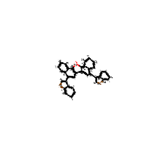 c1ccc2c(-c3cc4c5cc(-c6csc7ccccc67)c6ccccc6c5oc4c4ccccc34)csc2c1